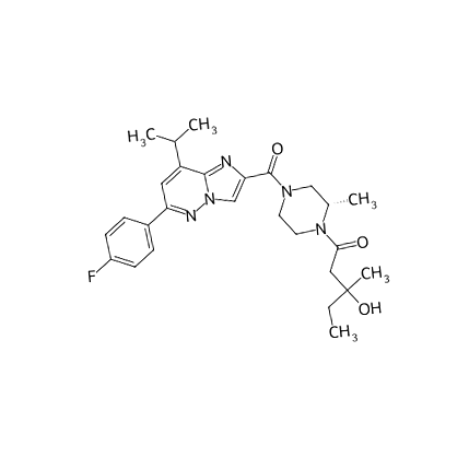 CCC(C)(O)CC(=O)N1CCN(C(=O)c2cn3nc(-c4ccc(F)cc4)cc(C(C)C)c3n2)C[C@@H]1C